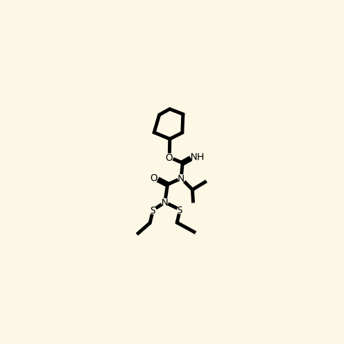 CCSN(SCC)C(=O)N(C(=N)OC1CCCCC1)C(C)C